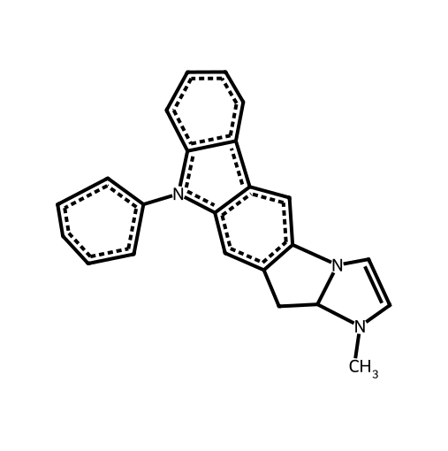 CN1C=CN2c3cc4c5ccccc5n(-c5ccccc5)c4cc3CC12